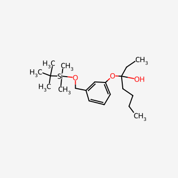 CCCCC(O)(CC)Oc1cccc(CO[Si](C)(C)C(C)(C)C)c1